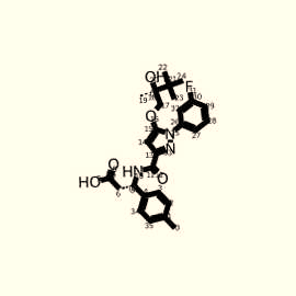 Cc1ccc([C@H](CC(=O)O)NC(=O)c2cc(OC[C@@](C)(O)C(C)(C)C)n(-c3cccc(F)c3)n2)cc1